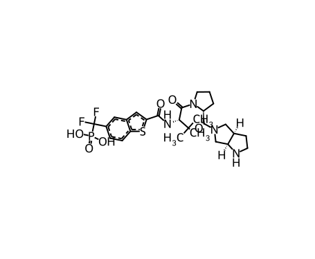 CC(C)(C)[C@H](NC(=O)c1cc2cc(C(F)(F)P(=O)(O)O)ccc2s1)C(=O)N1CCC[C@H]1C(=O)N1C[C@H]2CCN[C@H]2C1